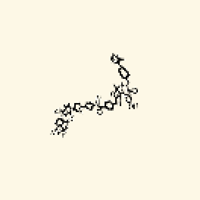 Cc1ncsc1-c1ccc(CNC(=O)[C@@H]2C[C@@H](O)CN2C(O)[C@@H](NC(=O)Cc2ccc(C(=O)Nc3ccc(-c4ccc(N5C(=S)N(c6ccc(C#N)c(C(F)(F)F)c6F)C(=O)C5(C)C)cn4)cc3)cc2)C(C)(C)C)cc1